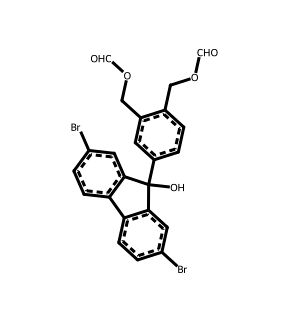 O=COCc1ccc(C2(O)c3cc(Br)ccc3-c3ccc(Br)cc32)cc1COC=O